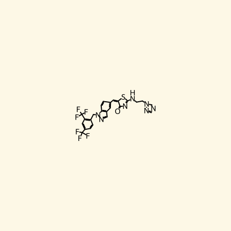 O=C1N=C(NCCn2cncn2)SC1=Cc1ccc2c(cnn2Cc2ccc(C(F)(F)F)cc2C(F)(F)F)c1